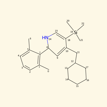 Cc1cccc(C)c1C1C=C(CC2CCCCC2)C([Si](C)(C)C)=CN1